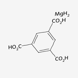 O=C(O)c1cc(C(=O)O)cc(C(=O)O)c1.[MgH2]